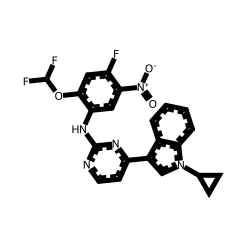 O=[N+]([O-])c1cc(Nc2nccc(-c3cn(C4CC4)c4ccccc34)n2)c(OC(F)F)cc1F